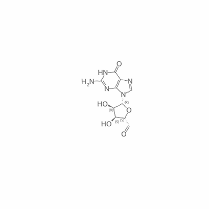 Nc1nc2c(ncn2[C@@H]2O[C@H](C=O)[C@@H](O)[C@H]2O)c(=O)[nH]1